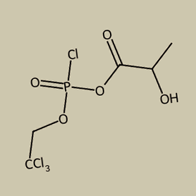 CC(O)C(=O)OP(=O)(Cl)OCC(Cl)(Cl)Cl